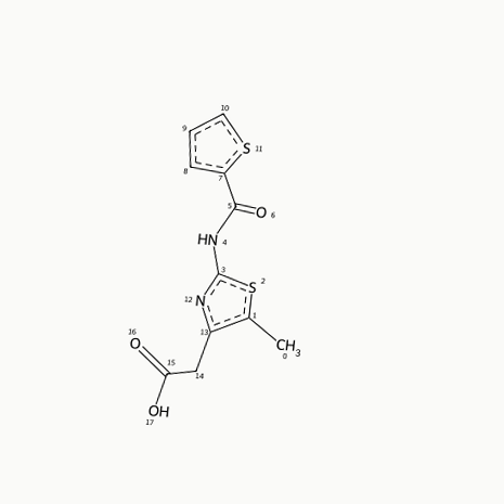 Cc1sc(NC(=O)c2cccs2)nc1CC(=O)O